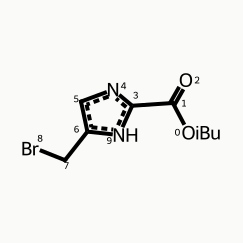 CC(C)COC(=O)c1ncc(CBr)[nH]1